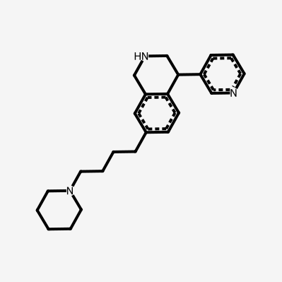 c1cncc(C2CNCc3cc(CCCCN4CCCCC4)ccc32)c1